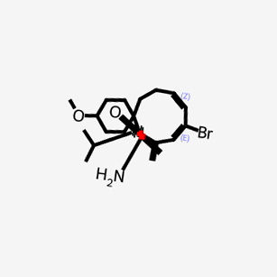 C=C1/C=C(Br)\C=C/CCC2(CCC(OC)CC2)C12N=C(N)N(C(C)C)C2=O